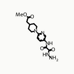 COC(=O)CC1CCN(c2ccc(NC(=O)C(=O)NN)cn2)CC1